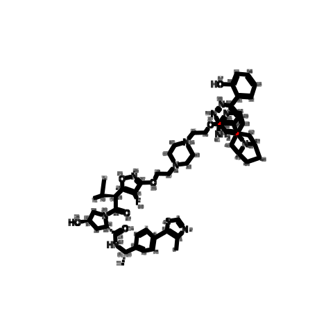 Cc1ncsc1-c1ccc([C@H](C)NC(=O)[C@@H]2C[C@@H](O)CN2C(=O)[C@H](c2onc(OCCN3CCN(CCOc4cc(N5C6CCC5CN(c5cc(-c7ccccc7O)nnc5N)C6)ccn4)CC3)c2F)C(C)C)cc1